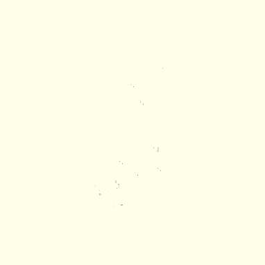 CCOc1cc(C(=O)Nc2cc(C(F)(F)F)ccn2)ccc1-c1nc([C@H]2C[C@H]3CC[C@@H](C2)[C@H]3C(=O)O)n2ccnc(N)c12